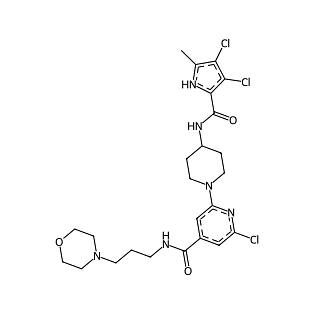 Cc1[nH]c(C(=O)NC2CCN(c3cc(C(=O)NCCCN4CCOCC4)cc(Cl)n3)CC2)c(Cl)c1Cl